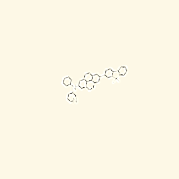 CC1(C)c2ccccc2-c2ccc(-c3cc4ccc5cc(N(c6ccccc6)c6cccnc6)cc6ccc(c3)c4c56)cc21